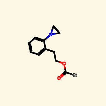 CCC(=O)OCCc1ccccc1N1CC1